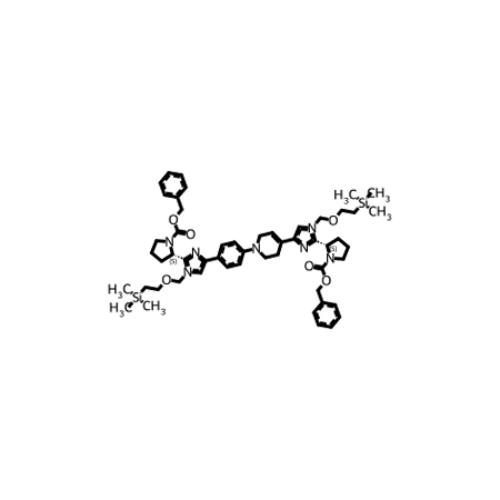 C[Si](C)(C)CCOCn1cc(C2=CCN(c3ccc(-c4cn(COCC[Si](C)(C)C)c([C@@H]5CCCN5C(=O)OCc5ccccc5)n4)cc3)CC2)nc1[C@@H]1CCCN1C(=O)OCc1ccccc1